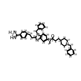 CN(C(=O)CCC1CCN(Cc2ccccc2)CC1)c1ccc2c(c1)nc(CCc1ccc(C(=N)N)cc1)n2Cc1ccccc1